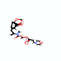 CC(Cc1ccc2c(c1)OCO2)N(C)C(=O)OCOC(=O)CCN1CCOCC1